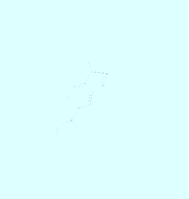 COC(=O)c1cc(C)c2c(c1)c(SC)cn2Cl